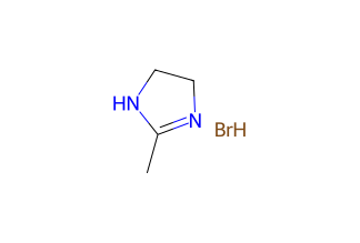 Br.CC1=NCCN1